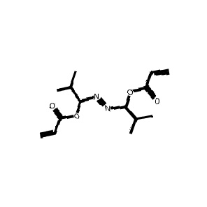 C=CC(=O)OC(/N=N/C(OC(=O)C=C)C(C)C)C(C)C